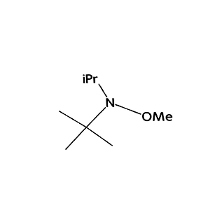 CON(C(C)C)C(C)(C)C